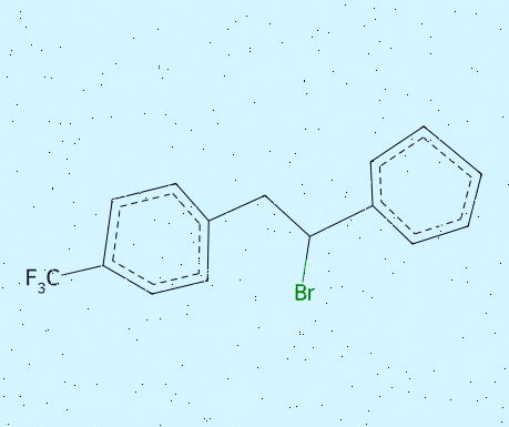 FC(F)(F)c1ccc(CC(Br)c2ccccc2)cc1